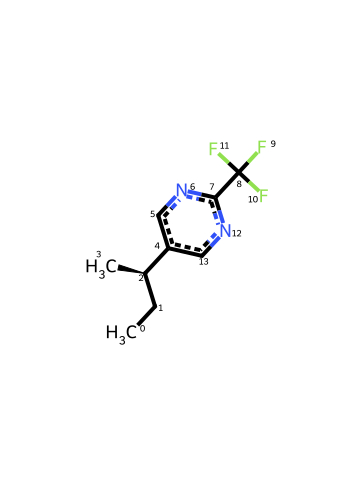 CC[C@@H](C)c1cnc(C(F)(F)F)nc1